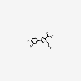 COC(=O)c1cc(-c2ccc(F)c(Br)c2)cn1CCF